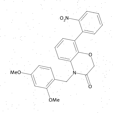 COc1ccc(CN2C(=O)COc3c(-c4ccccc4[N+](=O)[O-])cccc32)c(OC)c1